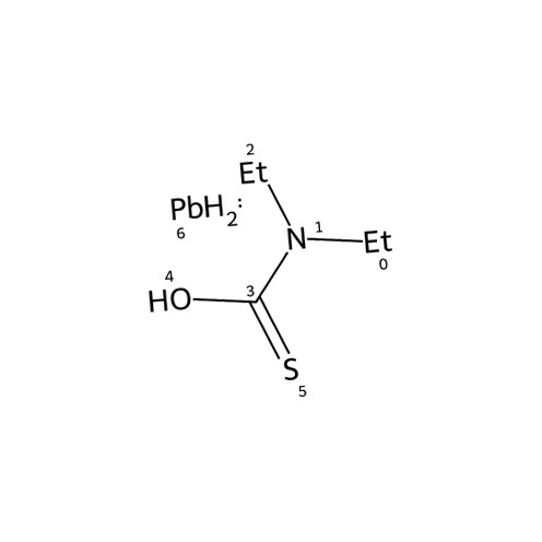 CCN(CC)C(O)=S.[PbH2]